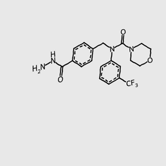 NNC(=O)c1ccc(CN(C(=O)N2CCOCC2)c2cccc(C(F)(F)F)c2)cc1